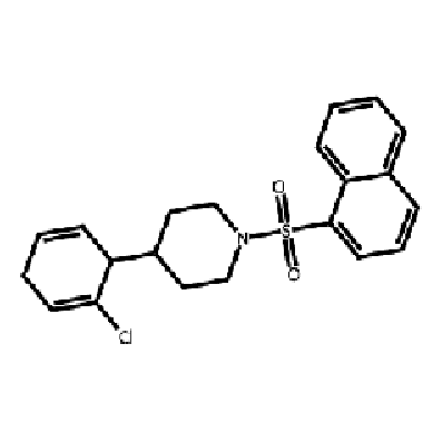 O=S(=O)(c1cccc2ccccc12)N1CCC(C2C=CCC=C2Cl)CC1